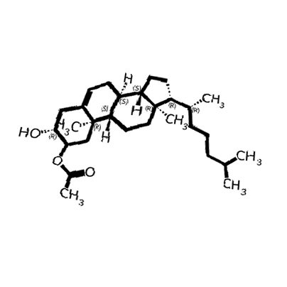 CC(=O)OC1C[C@@]2(C)C(=CC[C@H]3[C@@H]4CC[C@H]([C@H](C)CCCC(C)C)[C@@]4(C)CC[C@@H]32)C[C@H]1O